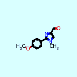 COc1ccc(-c2nc(C=O)cn2C)cc1